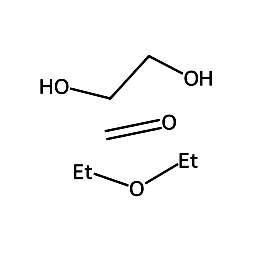 C=O.CCOCC.OCCO